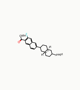 CCCCCCCC1CC[C@@H]2CC(c3ccc4cc(C(=O)OC)c(F)cc4c3)CC[C@H]2C1